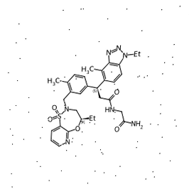 CC[C@@H]1CN(Cc2cc([C@H](CC(=O)NCC(N)=O)c3ccc4c(nnn4CC)c3C)ccc2C)S(=O)(=O)c2cccnc2O1